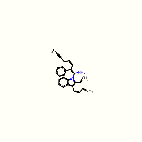 C=C/C=C\c1c(C=C)n(/C(N)=C(/C=C\CC#CC)c2ccccc2)c2ccccc12